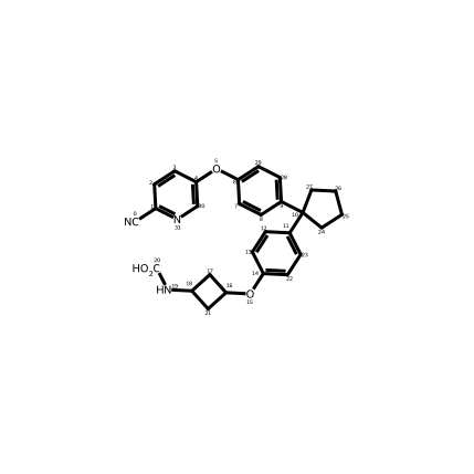 N#Cc1ccc(Oc2ccc(C3(c4ccc(OC5CC(NC(=O)O)C5)cc4)CCCC3)cc2)cn1